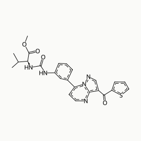 COC(=O)[C@@H](NC(=O)Nc1cccc(-c2ccnc3c(C(=O)c4cccs4)cnn23)c1)C(C)C